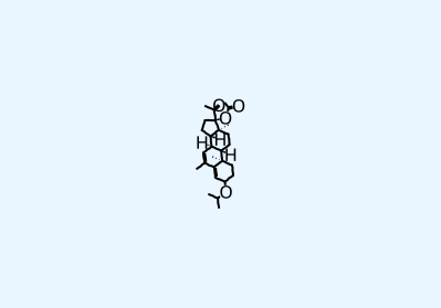 CC(=O)O[C@]1(C(C)=O)CC[C@H]2[C@@H]3C=C(C)C4=CC(OC(C)C)CC[C@]4(C)[C@H]3CC[C@@]21C